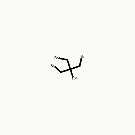 CCCC(CBr)(CBr)CBr